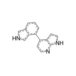 c1cc(-c2ccnc3[nH]ccc23)c2c[nH]cc2c1